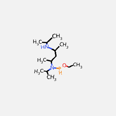 CCOPN(C(C)C)C(C)CC(C)NC(C)C